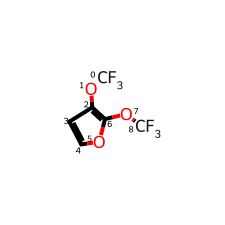 FC(F)(F)Oc1ccoc1OC(F)(F)F